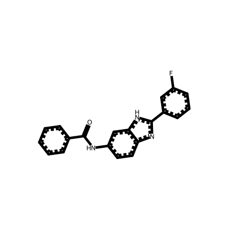 O=C(Nc1ccc2nc(-c3cccc(F)c3)[nH]c2c1)c1ccccc1